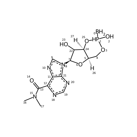 B[PH]1(O)OC[C@H]2O[C@@H](n3cnc4c(C(=O)N(C)C)ncnc43)C(O)[C@H]2O1